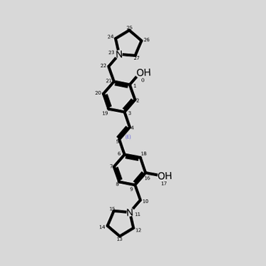 Oc1cc(/C=C/c2ccc(CN3CCCC3)c(O)c2)ccc1CN1CCCC1